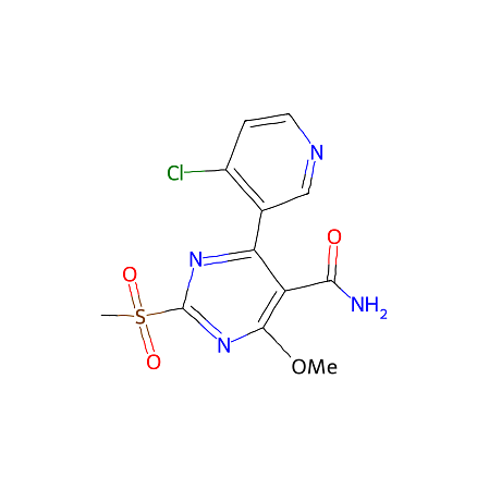 COc1nc(S(C)(=O)=O)nc(-c2cnccc2Cl)c1C(N)=O